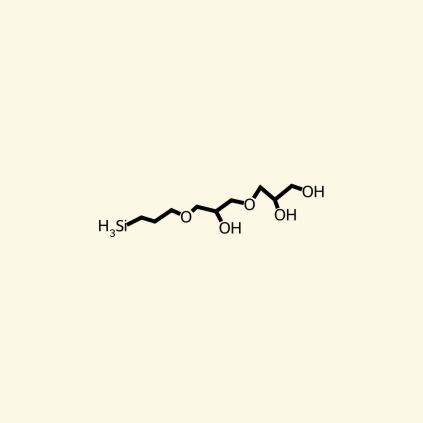 OCC(O)COCC(O)COCCC[SiH3]